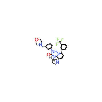 O=C(Nc1cccc(CN2CCOCC2)c1)N1c2nc(-c3cccc(C(F)(F)F)c3)ccc2N2CC[C@H]1C2